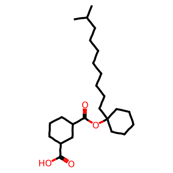 CC(C)CCCCCCCCC1(OC(=O)C2CCCC(C(=O)O)C2)CCCCC1